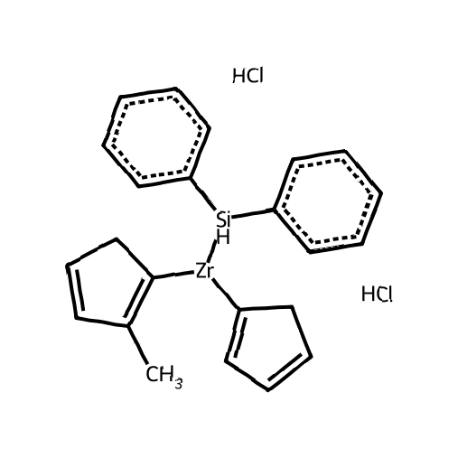 CC1=[C]([Zr]([C]2=CC=CC2)[SiH](c2ccccc2)c2ccccc2)CC=C1.Cl.Cl